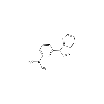 CN(C)c1cccc(C2C=Cc3ccccc32)c1